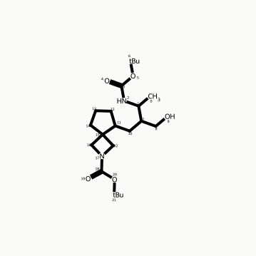 CC(NC(=O)OC(C)(C)C)C(CO)CC1CCCC12CN(C(=O)OC(C)(C)C)C2